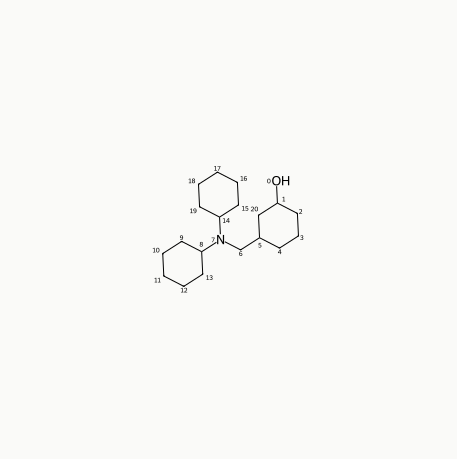 OC1CCCC(CN(C2CCCCC2)C2CCCCC2)C1